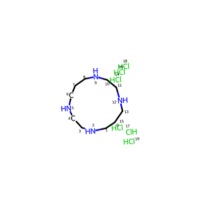 C1CNCCNCCCNCCNC1.Cl.Cl.Cl.Cl.Cl.Cl